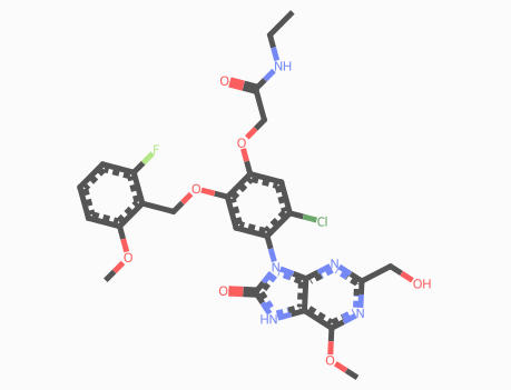 CCNC(=O)COc1cc(Cl)c(-n2c(=O)[nH]c3c(OC)nc(CO)nc32)cc1OCc1c(F)cccc1OC